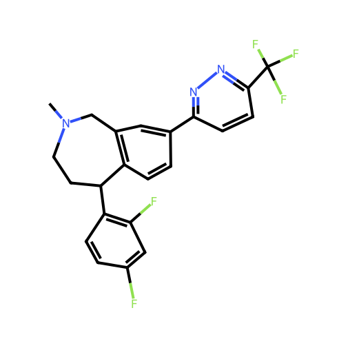 CN1CCC(c2ccc(F)cc2F)c2ccc(-c3ccc(C(F)(F)F)nn3)cc2C1